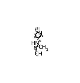 C#C/N=C(\C)NCc1ccc(Cl)nc1